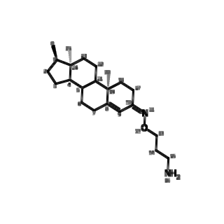 C[C@@H]1CCC2C3CCC4=CC(=NOCCCN)CC[C@]4(C)C3CC[C@@]21C